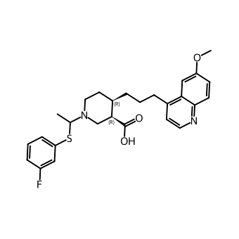 COc1ccc2nccc(CCC[C@@H]3CCN(C(C)Sc4cccc(F)c4)C[C@@H]3C(=O)O)c2c1